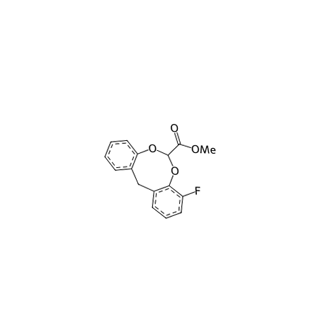 COC(=O)C1Oc2ccccc2Cc2cccc(F)c2O1